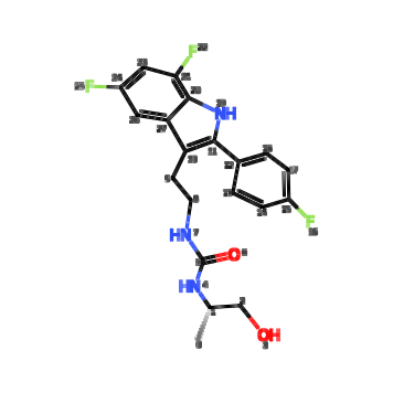 C[C@@H](CO)NC(=O)NCCc1c(-c2ccc(F)cc2)[nH]c2c(F)cc(F)cc12